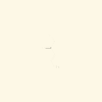 CCCC=CC(=O)[CH2][Pd]